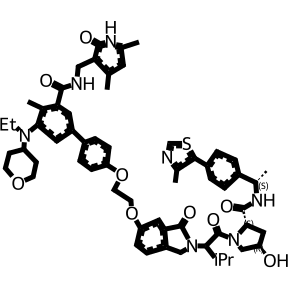 CCN(c1cc(-c2ccc(OCCOc3ccc4c(c3)C(=O)N(C(C(=O)N3C[C@H](O)C[C@H]3C(=O)N[C@@H](C)c3ccc(-c5scnc5C)cc3)C(C)C)C4)cc2)cc(C(=O)NCc2c(C)cc(C)[nH]c2=O)c1C)C1CCOCC1